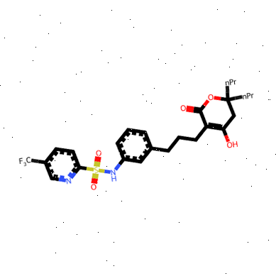 CCCC1(CCC)CC(O)=C(CCCc2cccc(NS(=O)(=O)c3ccc(C(F)(F)F)cn3)c2)C(=O)O1